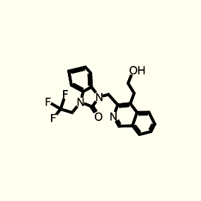 O=c1n(Cc2ncc3ccccc3c2CCO)c2ccccc2n1CC(F)(F)F